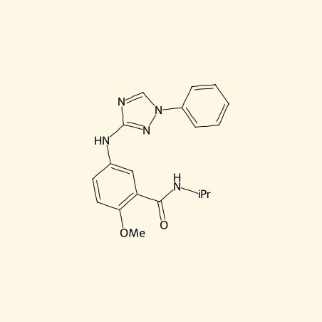 COc1ccc(Nc2ncn(-c3ccccc3)n2)cc1C(=O)NC(C)C